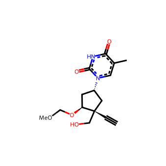 C#C[C@]1(CO)C[C@@H](n2cc(C)c(=O)[nH]c2=O)C[C@@H]1OCOC